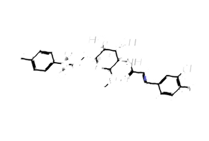 COC1O[C@H](COS(=O)(=O)c2ccc(C)cc2)[C@@H](O)[C@H](O)[C@H]1NC(=O)/C=C/c1ccc(Cl)c(Cl)c1